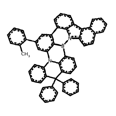 Cc1ccccc1-c1cc2c3c(c1)N1c4ccccc4C(c4ccccc4)(c4ccccc4)c4cccc(c41)B3n1c3ccc4ccccc4c3c3cccc-2c31